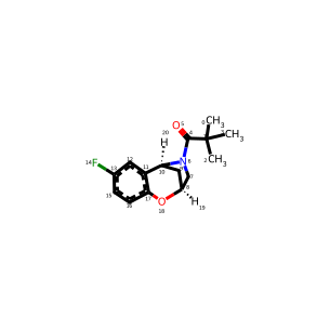 CC(C)(C)C(=O)N1C[C@@H]2C[C@H]1c1cc(F)ccc1O2